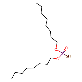 CCCCCCCCOP(=O)(S)OCCCCCCCC